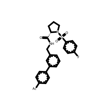 CC(=O)c1ccc(-c2cccc(CNC(=O)[C@@H]3CCCN3S(=O)(=O)c3ccc(F)cc3)c2)cc1